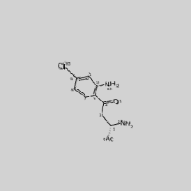 CC(=O)[C@@H](N)CC(=O)c1ccc(Cl)cc1N